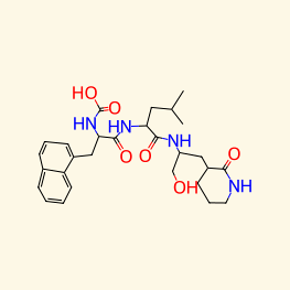 CC(C)CC(NC(=O)C(Cc1cccc2ccccc12)NC(=O)O)C(=O)NC(CO)CC1CCCNC1=O